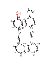 CC(=O)Oc1ccc(C#Cc2ccccc2)cc1.Oc1ccc(C#Cc2ccccc2)cc1